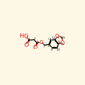 O=C(O)CC(=O)OCc1ccc2c(c1)OCO2